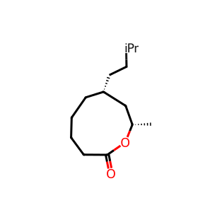 CC(C)CC[C@H]1CCCCC(=O)O[C@@H](C)C1